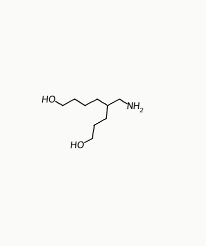 NCC(CCCO)CCCCO